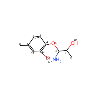 Cc1ccc(OC(N)C(C)O)c(Br)c1